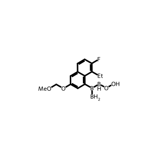 BB(BOO)c1cc(OCOC)cc2ccc(F)c(CC)c12